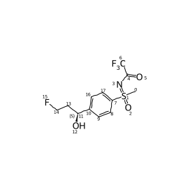 CS(=O)(=NC(=O)C(F)(F)F)c1ccc([C@@H](O)CCF)cc1